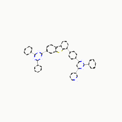 c1ccc(-c2nc(-c3ccc(-c4cccc5c4sc4cc(-c6nc(-c7ccccc7)nc(-c7ccccc7)n6)ccc45)cc3)cc(-c3cccnc3)n2)cc1